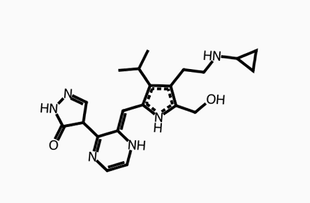 CC(C)c1c(C=C2NC=CN=C2C2C=NNC2=O)[nH]c(CO)c1CCNC1CC1